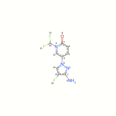 Nc1nn(-c2ccc(=O)n(C(F)F)c2)cc1F